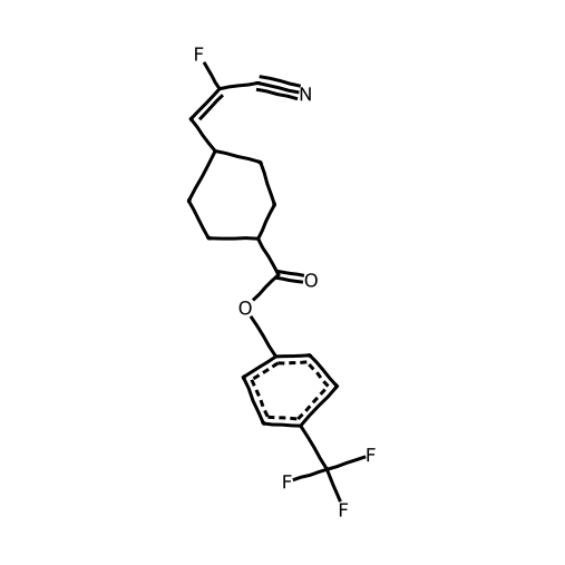 N#C/C(F)=C\C1CCC(C(=O)Oc2ccc(C(F)(F)F)cc2)CC1